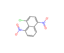 O=[N+]([O-])c1ccc(Cl)c2c([N+](=O)[O-])cccc12